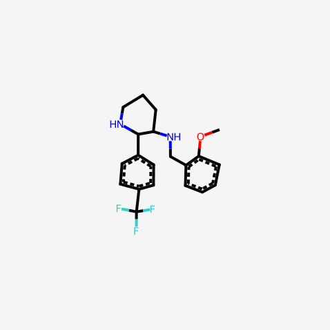 COc1ccccc1CNC1CCCNC1c1ccc(C(F)(F)F)cc1